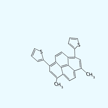 Cc1cc(-c2cccs2)c2ccc3c(-c4cccs4)cc(C)c4ccc1c2c43